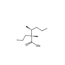 CCC[C@H](C)[C@@](C)(CCC)C(=O)O